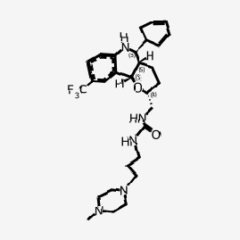 CN1CCN(CCCNC(=O)NC[C@H]2CC[C@@H]3[C@H](O2)c2cc(C(F)(F)F)ccc2N[C@H]3C2C=CC=CC2)CC1